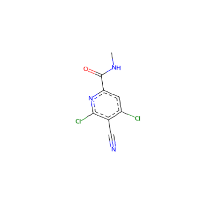 CNC(=O)c1cc(Cl)c(C#N)c(Cl)n1